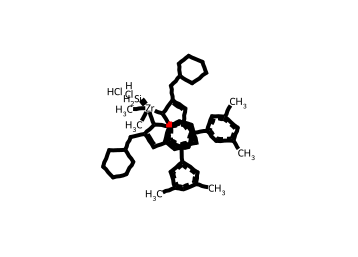 Cc1cc(C)cc(-c2cccc3c2C=C(CC2CCCCC2)[CH]3[Zr]([CH3])([CH3])(=[SiH2])[CH]2C(CC3CCCCC3)=Cc3c(-c4cc(C)cc(C)c4)cccc32)c1.Cl.Cl